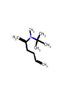 C=CCCC(=C)N(C)C(C)(C)C